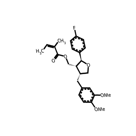 C/C=C(/C)C(=O)OC[C@H]1[C@@H](Cc2ccc(OC)c(OC)c2)CO[C@@H]1c1ccc(F)cc1